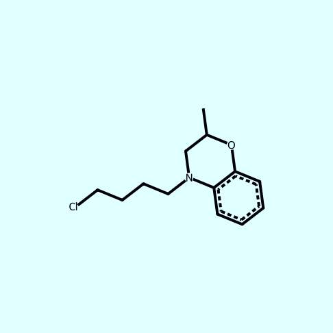 CC1CN(CCCCCl)c2ccccc2O1